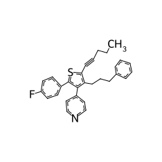 CCCC#Cc1sc(-c2ccc(F)cc2)c(-c2ccncc2)c1CCCc1ccccc1